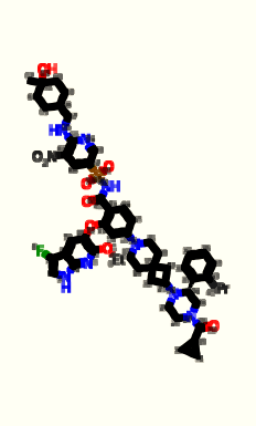 CCOc1nc2[nH]cc(F)c2cc1Oc1cc(N2CCC3(CC2)CC(N2CCN(C(=O)C4CC4)C[C@H]2c2ccccc2C(C)C)C3)ccc1C(=O)NS(=O)(=O)c1cnc(NCC2CCC(C)(O)CC2)c([N+](=O)[O-])c1